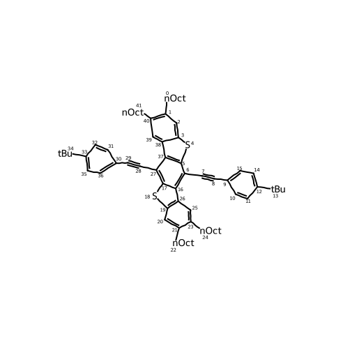 CCCCCCCCc1cc2sc3c(C#Cc4ccc(C(C)(C)C)cc4)c4c(sc5cc(CCCCCCCC)c(CCCCCCCC)cc54)c(C#Cc4ccc(C(C)(C)C)cc4)c3c2cc1CCCCCCCC